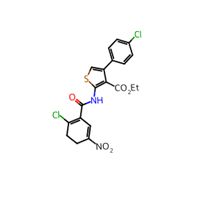 CCOC(=O)c1c(-c2ccc(Cl)cc2)csc1NC(=O)C1=C(Cl)CCC([N+](=O)[O-])=C1